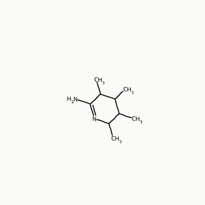 CC1N=C(N)C(C)C(C)C1C